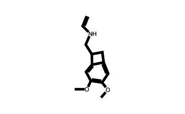 C=CNCC1Cc2cc(OC)c(OC)cc21